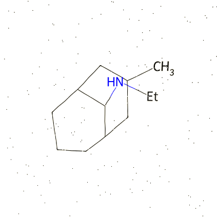 CCNC1C2CCCC1CC(C)C2